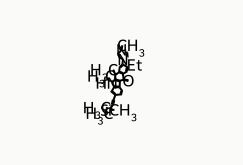 CCc1cc2c(cc1N1CCN(C)CC1)C(C)(C)c1[nH]c3cc(C#C[Si](C)(C)C)ccc3c1C2=O